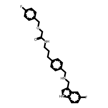 O=C(COCc1ccc(F)cc1)NCCCc1ccc(CNCc2c[nH]c3ccc(F)cc23)cc1